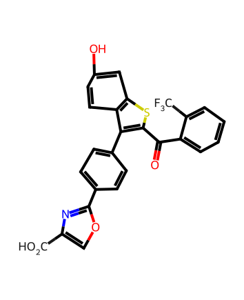 O=C(O)c1coc(-c2ccc(-c3c(C(=O)c4ccccc4C(F)(F)F)sc4cc(O)ccc34)cc2)n1